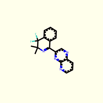 CC1(C)N=C(c2cnc3cccnc3n2)c2ccccc2C1(F)F